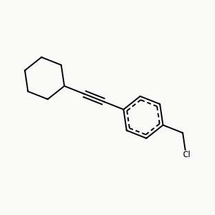 ClCc1ccc(C#CC2CCCCC2)cc1